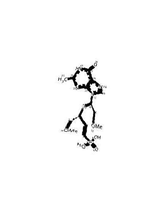 COC[C@@H](/C=C/P(=O)(O)O)O[C@H](COC)n1cnc2c(=O)[nH]c(C)nc21